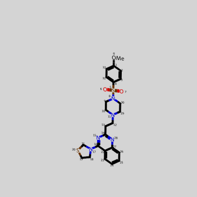 COc1ccc(S(=O)(=O)N2CCN(CCc3nc(N4CCSC4)c4ccccc4n3)CC2)cc1